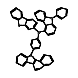 c1ccc(-n2c3ccccc3c3c(N(c4ccc(-n5c6ccccc6c6ccc7ccccc7c65)cc4)c4ccc5c(c4)sc4ccccc45)cccc32)cc1